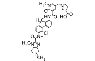 Cc1c(NC(=O)c2cc(CN3CCC(C(=O)O)C3)cn(C)c2=O)cccc1-c1cccc(NC(=O)c2nc3c(n2C)CCN(C)C3)c1Cl